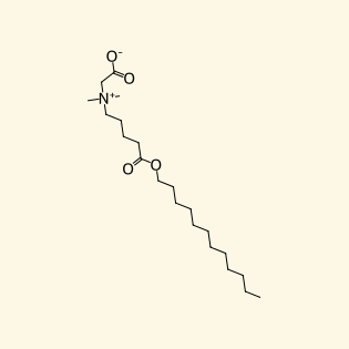 CCCCCCCCCCCCOC(=O)CCCC[N+](C)(C)CC(=O)[O-]